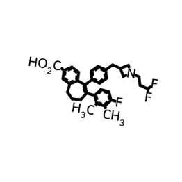 Cc1c(F)ccc(C2=C(c3ccc(CC4CN(CCC(F)F)C4)cc3)c3ccc(C(=O)O)cc3CCC2)c1C